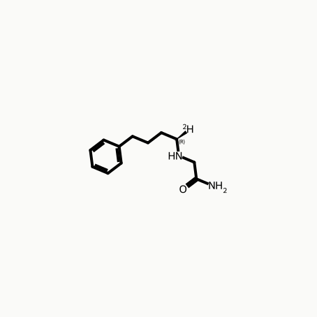 [2H][C@H](CCCc1ccccc1)NCC(N)=O